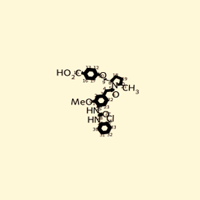 COc1cc(CC(=O)N2[C@H](COc3ccc(C(=O)O)cc3)CC[C@@H]2C)ccc1NC(=O)Nc1ccccc1Cl